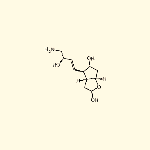 NC[C@H](O)/C=C/[C@H]1C(O)C[C@@H]2OC(O)C[C@@H]21